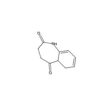 O=C1CCC(=O)C2CC=CC=C2N1